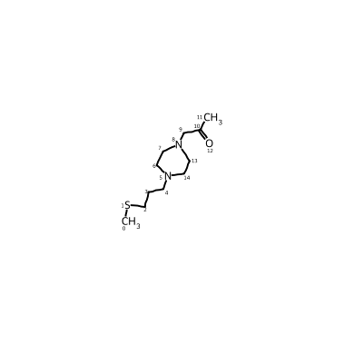 CSCCCN1CCN(CC(C)=O)CC1